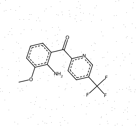 COc1cccc(C(=O)c2ccc(C(F)(F)F)cn2)c1N